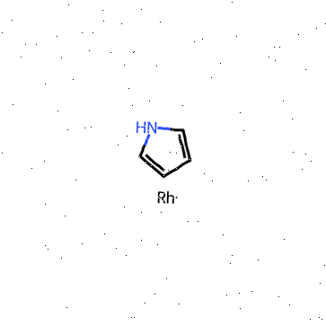 [Rh].c1cc[nH]c1